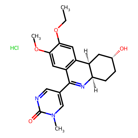 CCOc1cc2c(cc1OC)C(c1cnc(=O)n(C)c1)=N[C@@H]1CC[C@@H](O)C[C@H]21.Cl